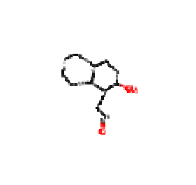 O=[C]CC1C(O)CCC2CCCCC21